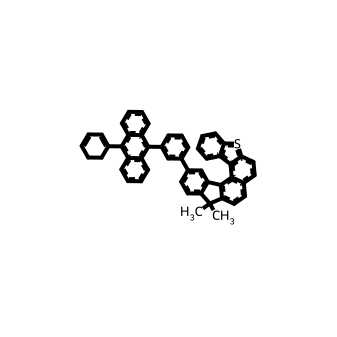 CC1(C)c2ccc(-c3cccc(-c4c5ccccc5c(C5=CC=CCC5)c5ccccc45)c3)cc2-c2c1ccc1ccc3sc4ccccc4c3c21